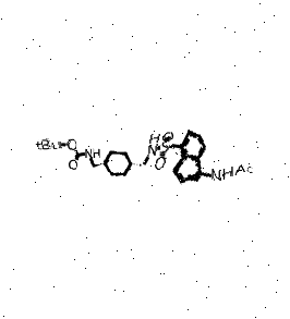 CC(=O)Nc1cccc2c(S(=O)(=O)NC[C@H]3CC[C@H](CNC(=O)OC(C)(C)C)CC3)cccc12